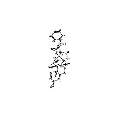 C[C@]12C=CC(=O)OC1CC[C@@H]1[C@H]2CC[C@]2(C)C(C(=O)Nc3ccccc3)CC[C@@H]12